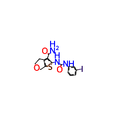 NC(=O)c1c(NC(=O)Nc2cccc(I)c2)sc2c1CCOC2